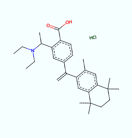 C=C(c1ccc(C(=O)O)c(C(C)N(CC)CC)c1)c1cc2c(cc1C)C(C)(C)CCC2(C)C.Cl